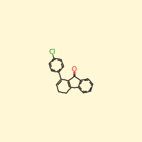 O=C1C2=C(CCC=C2c2ccc(Cl)cc2)c2ccccc21